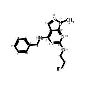 CC(C)CCNc1nc(NCc2ccccc2)c2cnn(C)c2n1